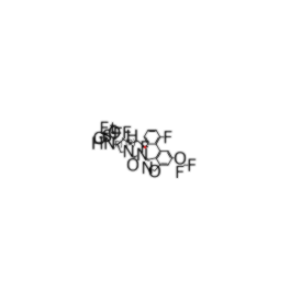 CCS(=O)(=O)N[C@@H]1CN2C(=O)N(c3noc4cc(OC(F)F)cc(-c5c(F)cccc5F)c34)CC[C@@H]2C1(F)F